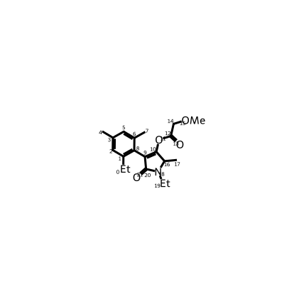 CCc1cc(C)cc(C)c1C1=C(OC(=O)COC)C(C)N(CC)C1=O